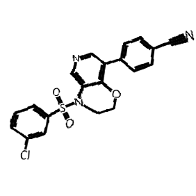 N#Cc1ccc(-c2cncc3c2OCCN3S(=O)(=O)c2cccc(Cl)c2)cc1